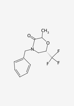 CC1O[C@H](C(F)(F)F)CN(Cc2ccccc2)C1=O